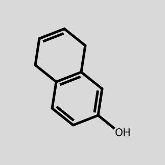 Oc1ccc2c(c1)CC=CC2